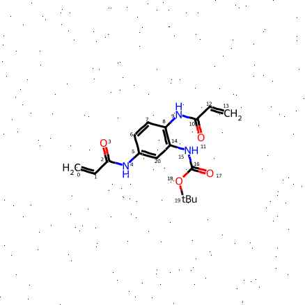 C=CC(=O)Nc1ccc(NC(=O)C=C)c(NC(=O)OC(C)(C)C)c1